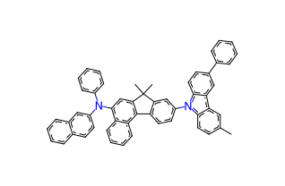 Cc1ccc2c(c1)c1cc(-c3ccccc3)ccc1n2-c1ccc2c(c1)C(C)(C)c1cc(N(c3ccccc3)c3ccc4ccccc4c3)c3ccccc3c1-2